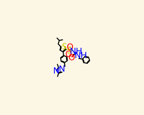 Cc1cn(Cc2ccc(-c3cc(CC(C)C)sc3S(=O)(=O)NC(=O)NCc3ccccc3)cc2)c(C)n1